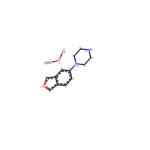 CCOC=O.c1cc2cocc2cc1N1CCNCC1